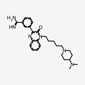 CN(C)C1CCN(CCCCCn2c(=O)c(-c3cccc(C(=N)N)c3)nc3ccccc32)CC1